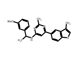 COc1cccc(C(C)Nc2cc(-c3ccc4occ(C)c4c3)nc(C)n2)c1